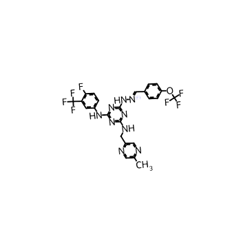 Cc1cnc(CNc2nc(N/N=C/c3ccc(OC(F)(F)F)cc3)nc(Nc3ccc(F)c(C(F)(F)F)c3)n2)cn1